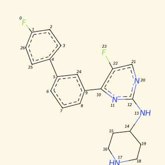 Fc1ccc(-c2cccc(-c3nc(NC4CCNCC4)ncc3F)c2)cc1